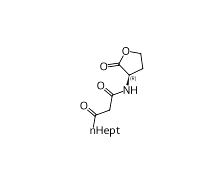 CCCCCCCC(=O)CC(=O)N[C@@H]1CCOC1=O